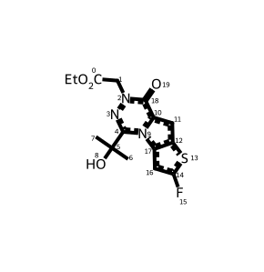 CCOC(=O)Cn1nc(C(C)(C)O)n2c(cc3sc(F)cc32)c1=O